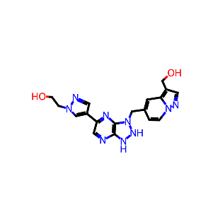 OCCn1cc(-c2cnc3c(n2)N(Cc2ccn4ncc(CO)c4c2)NN3)cn1